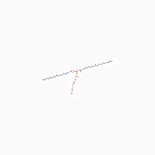 CCCCCCCCCCCCCCCCCCNC(=O)OC(COC(=O)NCCCCCCCCCCCCCCCC)CSC(=O)NCCCCOCCOC